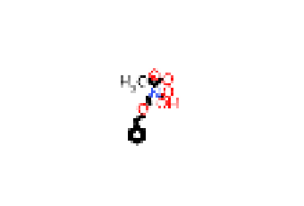 C[C@@H]1OC(=O)[C@@H]1N(CCOCCc1ccccc1)C(=O)O